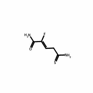 NC(=O)C(F)=CCC(N)=S